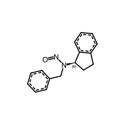 O=NN(Cc1ccccc1)[C@@H]1CCc2ccccc21